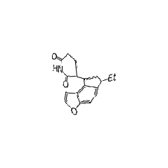 CCC1C=C(C2CCC(=O)NC2=O)c2c1ccc1occc21